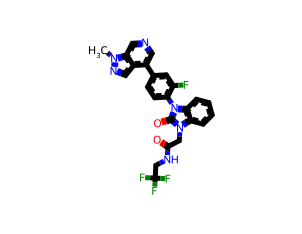 Cn1ncc2c(-c3ccc(-n4c(=O)n(CC(=O)NCC(F)(F)F)c5ccccc54)c(F)c3)cncc21